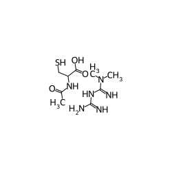 CC(=O)NC(CS)C(=O)O.CN(C)C(=N)NC(=N)N